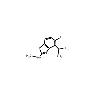 CNc1nc2c(C(C)C)c(F)ccc2s1